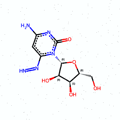 N=Nc1cc(N)nc(=O)n1[C@@H]1O[C@H](CO)[C@@H](O)[C@H]1O